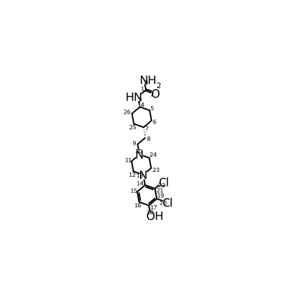 NC(=O)N[C@H]1CC[C@H](CCN2CCN(c3ccc(O)c(Cl)c3Cl)CC2)CC1